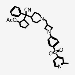 CC(=O)OC1CCCC1C(C#N)(c1ccccc1)C1CCN(CC2CN(c3ccc(S(=O)(=O)c4ccnc(C)c4)cc3)C2)CC1